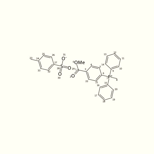 COC(=O)c1ccc([P+](C)(c2ccccc2)c2ccccc2)cc1.Cc1ccc(S(=O)(=O)[O-])cc1